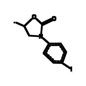 [CH2]C1CN(c2ccc(I)cc2)C(=O)O1